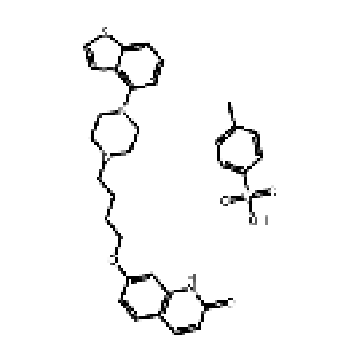 Cc1ccc(S(=O)(=O)O)cc1.O=c1ccc2ccc(OCCCCN3CCN(c4cccc5sccc45)CC3)cc2[nH]1